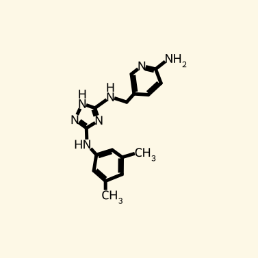 Cc1cc(C)cc(Nc2n[nH]c(NCc3ccc(N)nc3)n2)c1